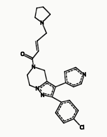 O=C(/C=C/CN1CCCC1)N1CCn2nc(-c3ccc(Cl)cc3)c(-c3ccncc3)c2C1